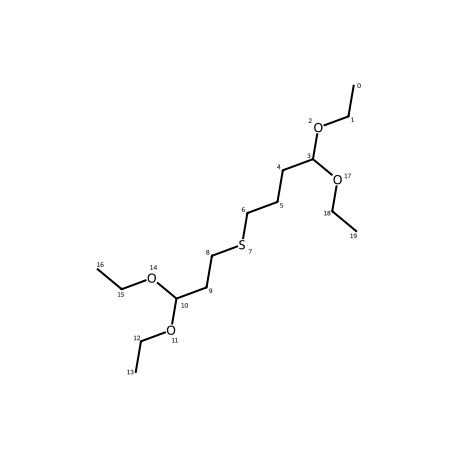 CCOC(CCCSCCC(OCC)OCC)OCC